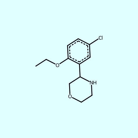 CCOc1ccc(Cl)cc1C1COCCN1